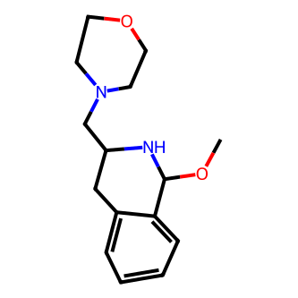 COC1NC(CN2CCOCC2)Cc2ccccc21